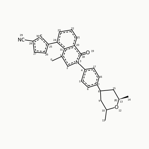 Cc1cn(-c2ccc(C3CC(C)O[C@H](C)C3)cc2)c(=O)c2cccc(-c3ccc(C#N)s3)c12